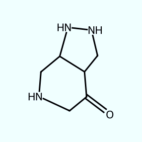 O=C1CNCC2NNCC12